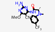 COc1nc(N)nc(NC(=O)[C@H](C)N(C)c2cccc(C(F)(F)F)c2)c1C#N